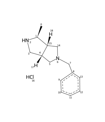 C[C@@H]1NC[C@H]2CN(Cc3ccccc3)C[C@H]21.Cl